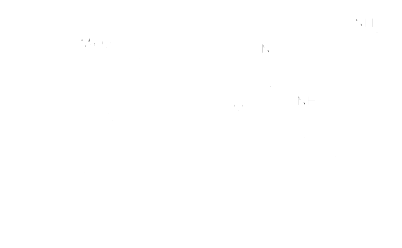 COc1cc(CN(CCN)C(=O)NC2CCCC2)ccc1OCc1ccccc1